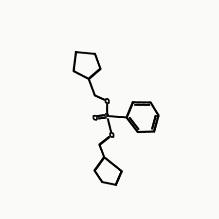 O=P(OCC1CCCC1)(OCC1CCCC1)c1ccccc1